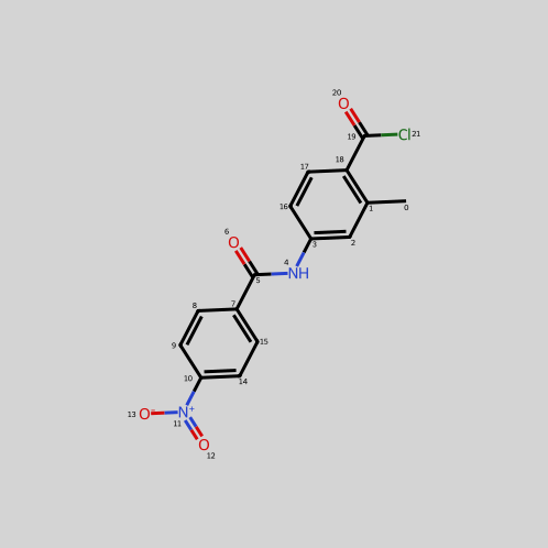 Cc1cc(NC(=O)c2ccc([N+](=O)[O-])cc2)ccc1C(=O)Cl